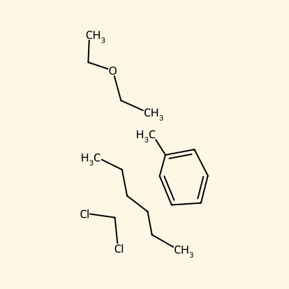 CCCCCC.CCOCC.Cc1ccccc1.ClCCl